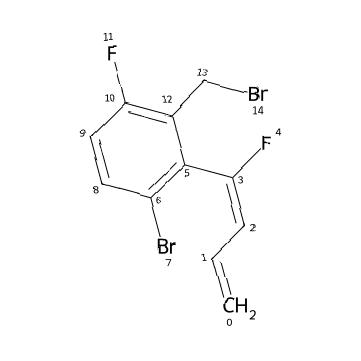 C=C/C=C(/F)c1c(Br)ccc(F)c1CBr